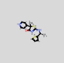 CC1(c2ccncc2)SC(N[C@H](c2cccs2)C(F)(F)F)=NC1=O